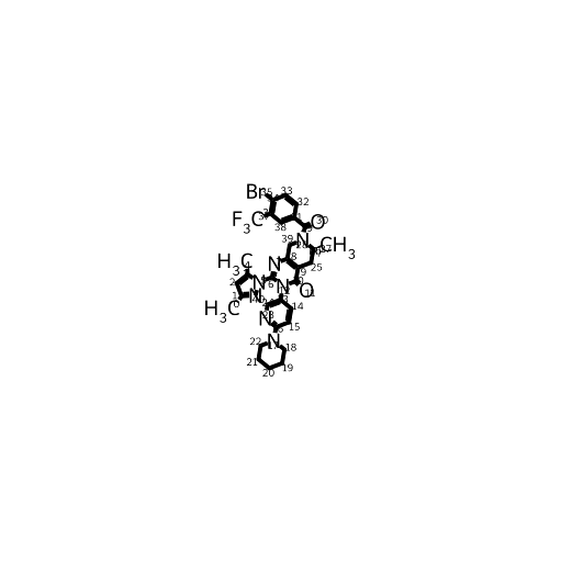 Cc1cc(C)n(-c2nc3c(c(=O)n2-c2ccc(N4CCCCC4)nc2)C[C@@H](C)N(C(=O)c2ccc(Br)c(C(F)(F)F)c2)C3)n1